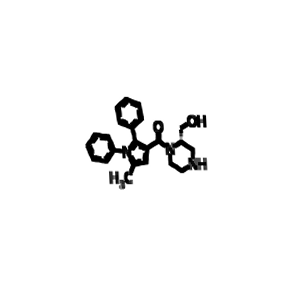 Cc1cc(C(=O)N2CCNC[C@H]2CO)c(-c2ccccc2)n1-c1ccccc1